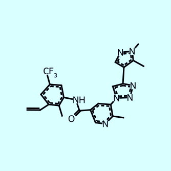 C=Cc1cc(C(F)(F)F)cc(NC(=O)c2cnc(C)c(-n3cc(-c4cnn(C)c4C)nn3)c2)c1C